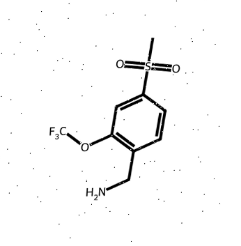 CS(=O)(=O)c1ccc(CN)c(OC(F)(F)F)c1